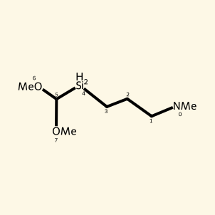 CNCCC[SiH2]C(OC)OC